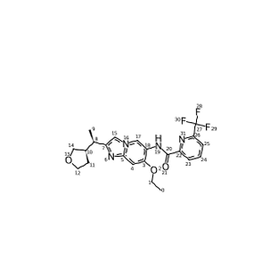 CCOc1cc2nc([C@H](C)[C@H]3CCOC3)cn2cc1NC(=O)c1cccc(C(F)(F)F)n1